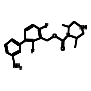 CC1CNCC(C)N1C(=O)OCc1c(F)ccc(-c2cccc(N)c2)c1F